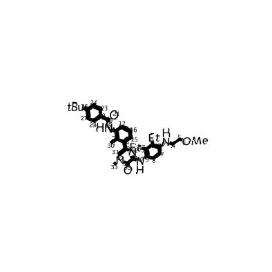 CCc1c(NCCOC)ccc(Nc2nc(-c3cccc(NC(=O)c4ccc(C(C)(C)C)cc4)c3C)cn(C)c2=O)c1CC